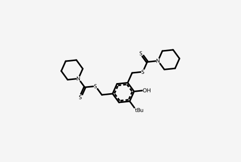 CC(C)(C)c1cc(CSC(=S)N2CCCCC2)cc(CSC(=S)N2CCCCC2)c1O